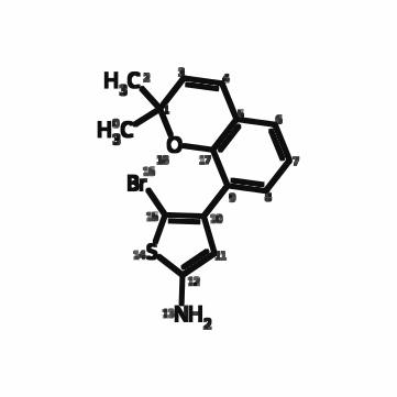 CC1(C)C=Cc2cccc(-c3cc(N)sc3Br)c2O1